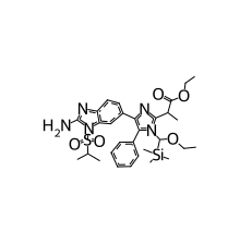 CCOC(=O)C(C)c1nc(-c2ccc3nc(N)n(S(=O)(=O)C(C)C)c3c2)c(-c2ccccc2)n1C(OCC)[Si](C)(C)C